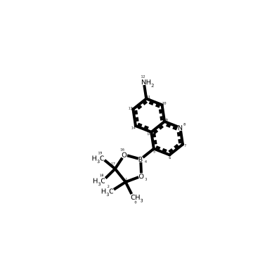 CC1(C)OB(c2ccnc3cc(N)ccc23)OC1(C)C